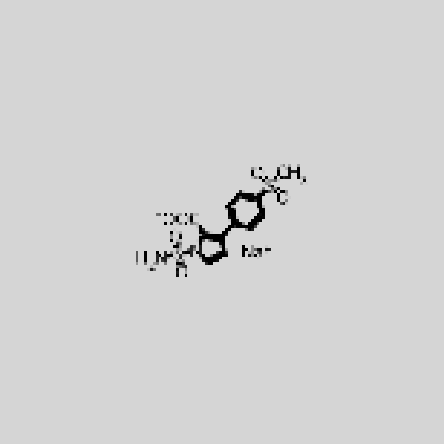 CS(=O)(=O)c1ccc(-c2ccn(S(N)(=O)=O)c2C(=O)[O-])cc1.[Na+]